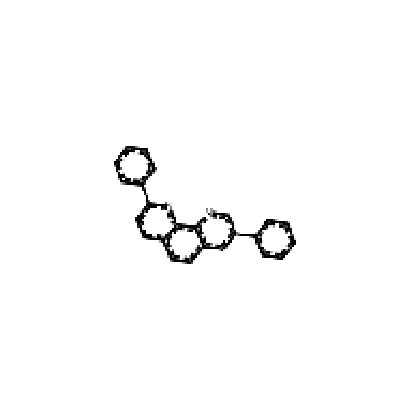 c1ccc(-c2cnc3c(ccc4ccc(-c5ccccc5)nc43)c2)cc1